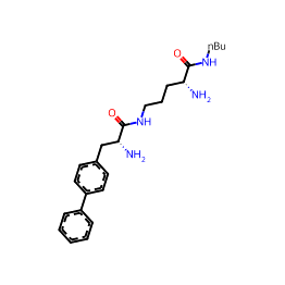 CCCCNC(=O)[C@H](N)CCCNC(=O)[C@H](N)Cc1ccc(-c2ccccc2)cc1